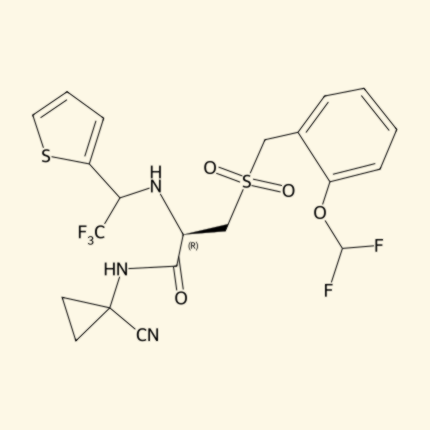 N#CC1(NC(=O)[C@H](CS(=O)(=O)Cc2ccccc2OC(F)F)NC(c2cccs2)C(F)(F)F)CC1